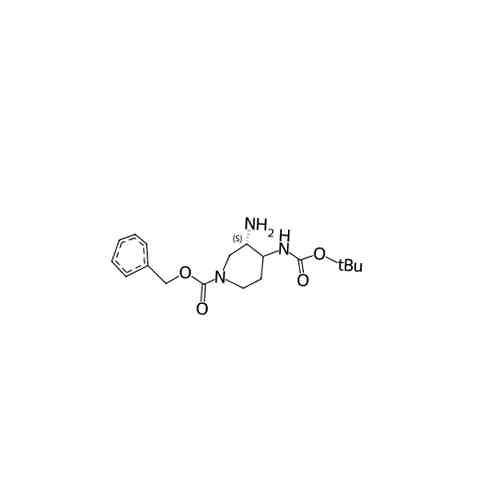 CC(C)(C)OC(=O)NC1CCN(C(=O)OCc2ccccc2)C[C@@H]1N